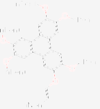 CCCCCCCCCC=COc1cc2c(cc1OCCCCC)c1cc(OCCCCC)c(OCCCCC)cc1c1cc(OCCCCC)c(OCCCCC)cc21